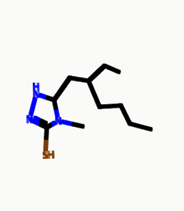 CCCCC(CC)CC1NN=C(S)N1C